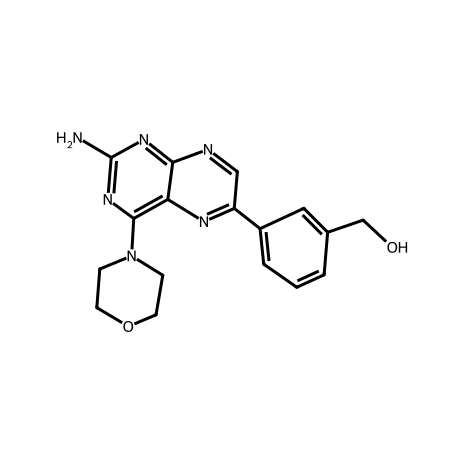 Nc1nc(N2CCOCC2)c2nc(-c3cccc(CO)c3)cnc2n1